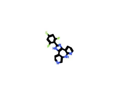 Fc1cc(F)c(-c2nc3c([nH]2)-c2ccncc2Nc2ncccc2-3)c(F)c1